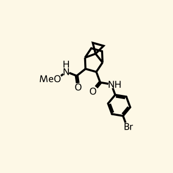 CONC(=O)C1C(C(=O)Nc2ccc(Br)cc2)C2CCC1C21CC1